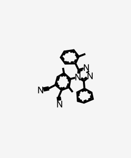 Cc1ccccc1-c1nnc(-c2ccccc2)n1-c1c(C)cc(C#N)c(C#N)c1C